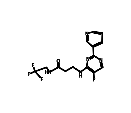 O=C(CCNc1nc(-c2cccnc2)ncc1F)NCC(F)(F)F